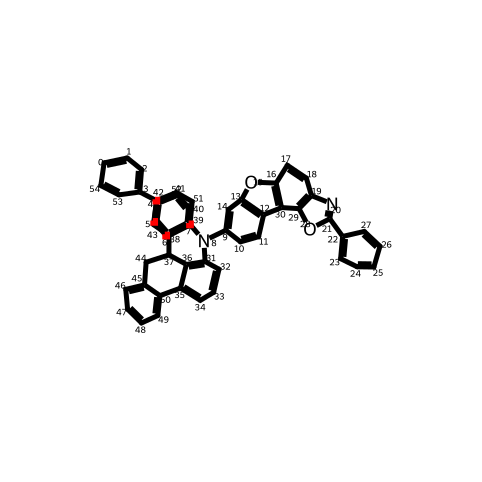 c1ccc(-c2ccc(N(c3ccc4c(c3)oc3ccc5nc(-c6ccccc6)oc5c34)c3cccc4c3C(c3ccccc3)Cc3ccccc3-4)cc2)cc1